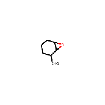 O=CC1CCCC2OC12